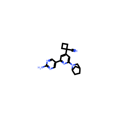 N#CC1(c2cc(-c3cnc(N)nc3)nc(N3CC4CCC3C4)c2)CCC1